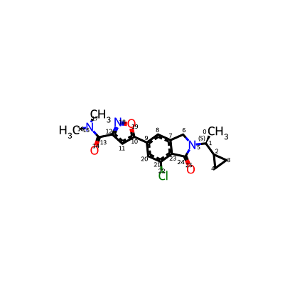 C[C@@H](C1CC1)N1Cc2cc(-c3cc(C(=O)N(C)C)no3)cc(Cl)c2C1=O